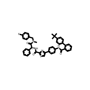 CN(Cc1ccc(F)cc1)C(=O)[C@@H](NC(=O)c1nc(-c2ccc(NC(=O)c3ccccc3-c3ccc(C(C)(C)C)cc3)cc2)cs1)c1ccccc1